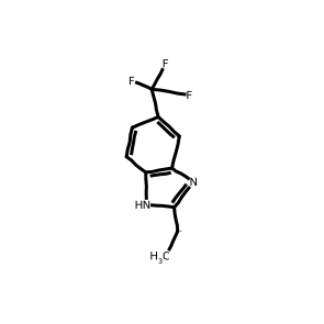 C[CH]c1nc2cc(C(F)(F)F)ccc2[nH]1